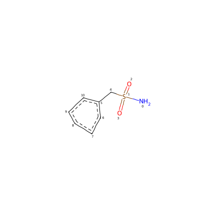 NS(=O)(=O)Cc1[c]cccc1